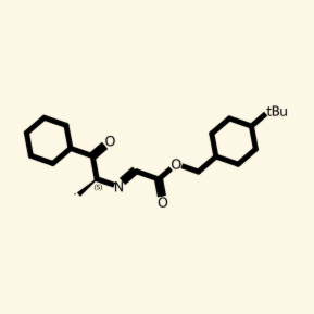 [CH2][C@H](N=CC(=O)OCC1CCC(C(C)(C)C)CC1)C(=O)C1CCCCC1